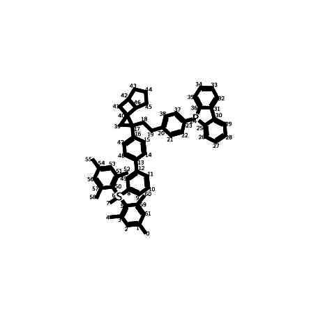 Cc1cc(C)c(S(C)(c2cccc(-c3ccc(C4(CCc5ccc(-p6c7ccccc7c7ccccc76)cc5)CC45CC4CCCC45)cc3)c2)c2c(C)cc(C)cc2C)c(C)c1